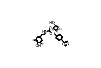 O=C(NCCc1cc(F)c(O)c(F)c1)O[C@@H]1[C@@H](O)CN[C@@H]1Cc1ccc(-c2cnco2)cc1